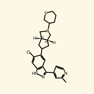 Cc1cc(-c2n[nH]c3cc(Cl)c(C4C[C@@H]5CN(C6CCCSC6)C[C@@H]5C4)cc23)ccn1